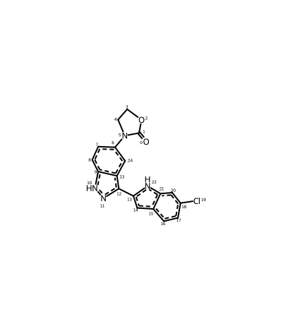 O=C1OCCN1c1ccc2[nH]nc(-c3cc4ccc(Cl)cc4[nH]3)c2c1